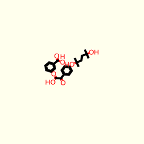 CC(C)(O)CCC(C)(C)O.O=C(O)C(=O)c1ccccc1.O=C(O)c1ccccc1